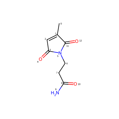 CC1=CC(=O)N(CCC(N)=O)C1=O